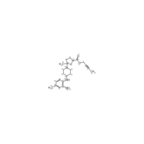 CC#CCOC(=O)N1CCC(C)(N2CCC(Nc3ccc(C)cc3N)CC2)C1